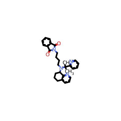 CC(C)(c1ccccn1)N(CCCCN1C(=O)c2ccccc2C1=O)C1CCCc2cccnc21